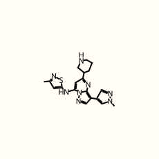 Cc1cc(Nc2cc(C3CCCNC3)nc3c(-c4cnn(C)c4)cnn23)sn1